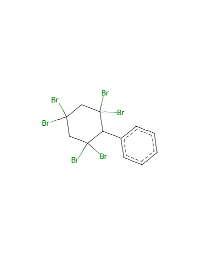 BrC1(Br)CC(Br)(Br)C(c2ccccc2)C(Br)(Br)C1